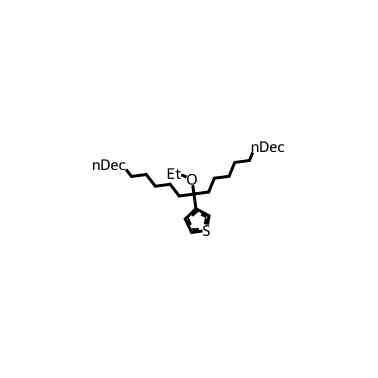 CCCCCCCCCCCCCCCC(CCCCCCCCCCCCCCC)(OCC)c1ccsc1